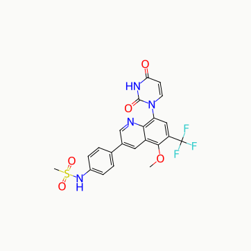 COc1c(C(F)(F)F)cc(-n2ccc(=O)[nH]c2=O)c2ncc(-c3ccc(NS(C)(=O)=O)cc3)cc12